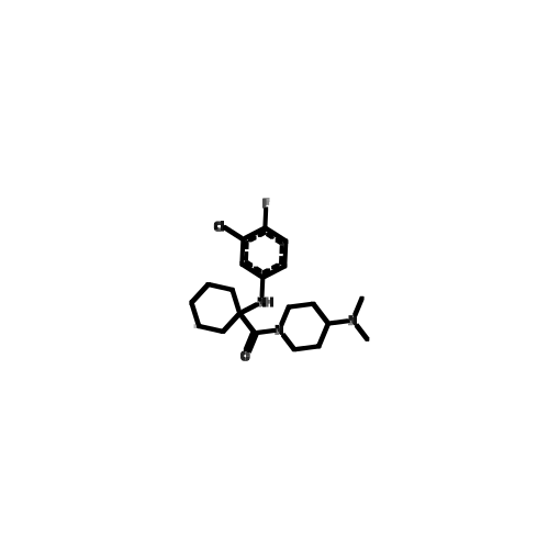 CN(C)C1CCN(C(=O)C2(Nc3ccc(F)c(Cl)c3)C[CH]CCC2)CC1